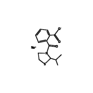 CC(C)C1SCCN1C(=O)c1ccccc1C(=O)[O-].[Na+]